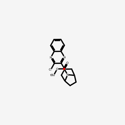 CC(C)(C)OC(=O)N1C2CCC1CN(c1nc3ccccc3nc1Cl)C2